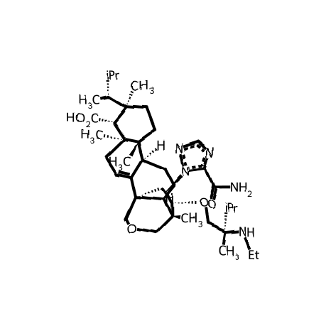 CCN[C@@](C)(CO[C@H]1[C@H](n2ncnc2C(N)=O)C[C@@]23COC[C@]1(C)[C@@H]2CC[C@H]1C3=CC[C@@]2(C)[C@H](C(=O)O)[C@@](C)([C@H](C)C(C)C)CC[C@]12C)C(C)C